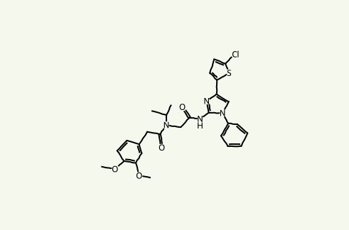 COc1ccc(CC(=O)N(CC(=O)Nc2nc(-c3ccc(Cl)s3)cn2-c2ccccc2)C(C)C)cc1OC